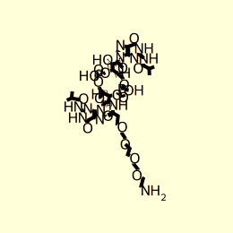 CC(C)C(=O)Nc1nc2c(ncn2[C@@H]2O[C@@H]3COP(=O)(O)OC4[C@@H](COP(=O)(O)OC3[C@@H]2O)O[C@@H](n2cnc3c(=O)[nH]c(NC(=O)C(C)C)nc32)[C@H]4NC(=O)CCOCCOCCOCCOCCN)c(=O)[nH]1